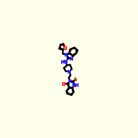 O=c1c2ccccc2[nH]c(=S)n1CCN1CCC(Nc2nc3ccccc3n2Cc2ccco2)CC1